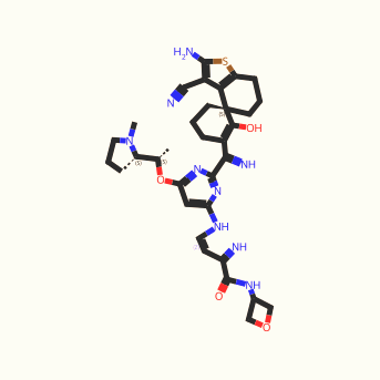 C[C@H](Oc1cc(N/C=C\C(=N)C(=O)NC2COC2)nc(C(=N)C2=C(O)[C@@]3(CCC2)CCCc2sc(N)c(C#N)c23)n1)[C@@H]1CCCN1C